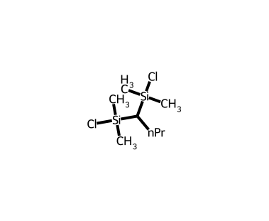 CCCC([Si](C)(C)Cl)[Si](C)(C)Cl